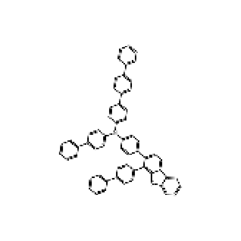 c1ccc(-c2ccc(-c3ccc(N(c4ccc(-c5ccccc5)cc4)c4ccc(-c5ccc6c(sc7ccccc76)c5-c5ccc(-c6ccccc6)cc5)cc4)cc3)cc2)cc1